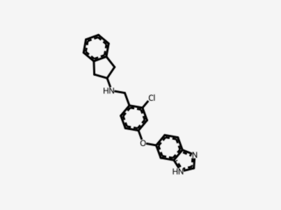 Clc1cc(Oc2ccc3nc[nH]c3c2)ccc1CNC1Cc2ccccc2C1